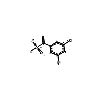 C=C(c1cc(Cl)cc(Br)c1)S(C)(=O)=O